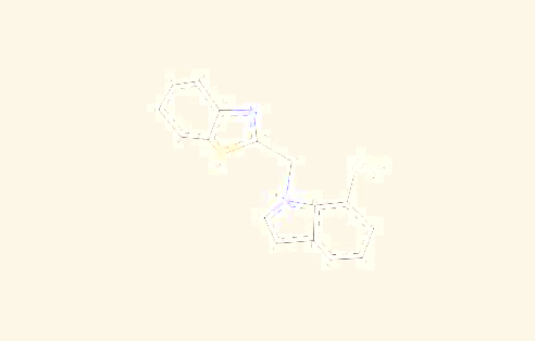 O=C(O)c1cccc2ccn(Cc3nc4ccccc4s3)c12